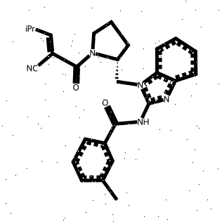 Cc1cccc(C(=O)Nc2nc3ccccc3n2C[C@H]2CCCN2C(=O)C(C#N)=CC(C)C)c1